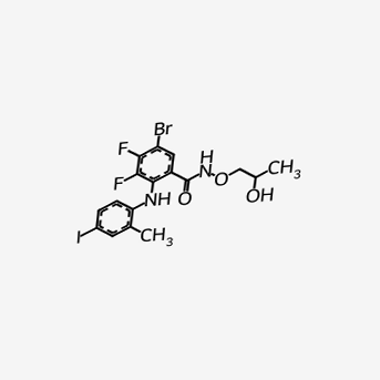 Cc1cc(I)ccc1Nc1c(C(=O)NOCC(C)O)cc(Br)c(F)c1F